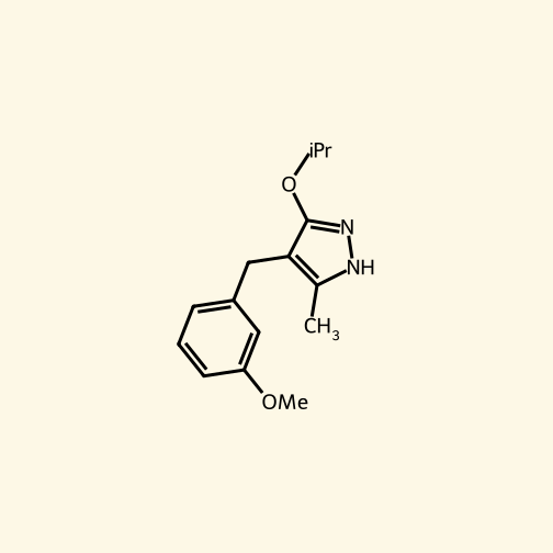 COc1cccc(Cc2c(OC(C)C)n[nH]c2C)c1